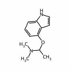 CC(Oc1cccc2[nH]ccc12)N(C)C